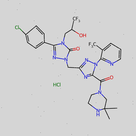 CC1(C)CN(C(=O)c2nc(Cn3nc(-c4ccc(Cl)cc4)n(CC(O)C(F)(F)F)c3=O)nn2-c2ncccc2C(F)(F)F)CCN1.Cl